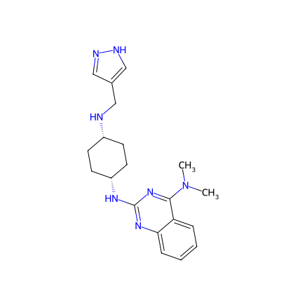 CN(C)c1nc(N[C@H]2CC[C@@H](NCc3cn[nH]c3)CC2)nc2ccccc12